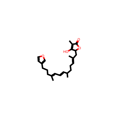 CC1=C(O)C(C/C(C)=C/CCC(C)/C=C/C=C(\C)CCCc2ccoc2)OC1=O